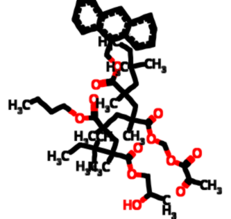 CCCCOC(=O)C(C)(CC(C)(CC(C)(CC(C)(C)CC)C(=O)OCc1c2ccccc2cc2ccccc12)C(=O)OCOC(=O)C(C)=O)CC(C)(C(=O)OCC(C)O)C(C)(C)CC